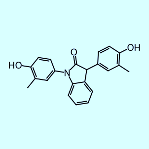 Cc1cc(C2C(=O)N(c3ccc(O)c(C)c3)c3ccccc32)ccc1O